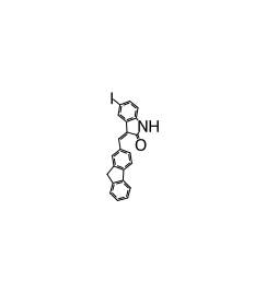 O=C1Nc2ccc(I)cc2C1=Cc1ccc2c(c1)Cc1ccccc1-2